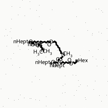 CCCCCC/C=C\COC(=O)CCCCCN(CCC(=O)OC(CCCCCCC)CCCCCCC)C(=O)SCCN(C)CCCCCCC/C=C\COC(=O)CCCCCN(CCCC(=O)OC(CCCCCCC)CCCCCCC)C(=O)SCCN(C)C